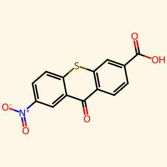 O=C(O)c1ccc2c(=O)c3cc([N+](=O)[O-])ccc3sc2c1